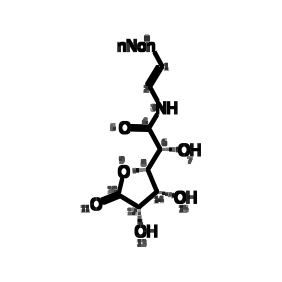 CCCCCCCCC/C=C/NC(=O)[C@H](O)[C@H]1OC(=O)[C@@H](O)[C@H]1O